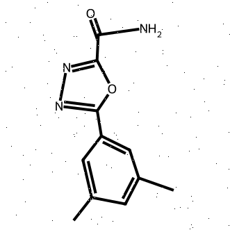 Cc1cc(C)cc(-c2nnc(C(N)=O)o2)c1